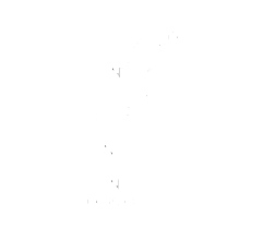 Cc1cc(=O)cc2sc3cc(N4CCN(S(C)(=O)=O)CC4)cc(C)c3nc1-2